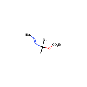 CCOC(=O)OC(C)(CC)/N=N/C(C)CC